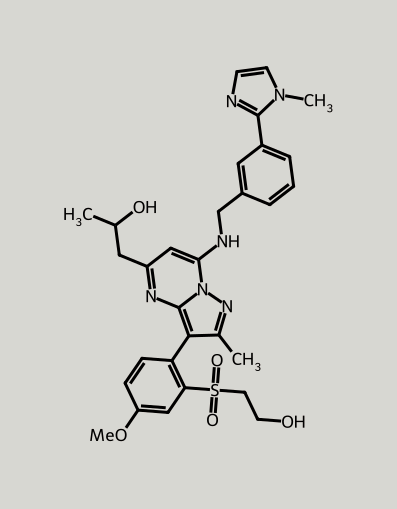 COc1ccc(-c2c(C)nn3c(NCc4cccc(-c5nccn5C)c4)cc(CC(C)O)nc23)c(S(=O)(=O)CCO)c1